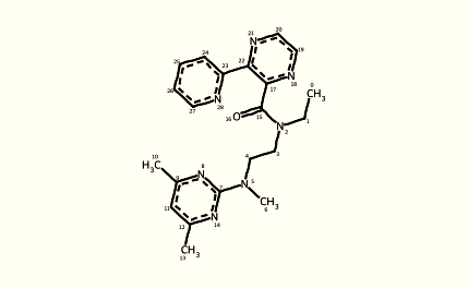 CCN(CCN(C)c1nc(C)cc(C)n1)C(=O)c1nccnc1-c1ccccn1